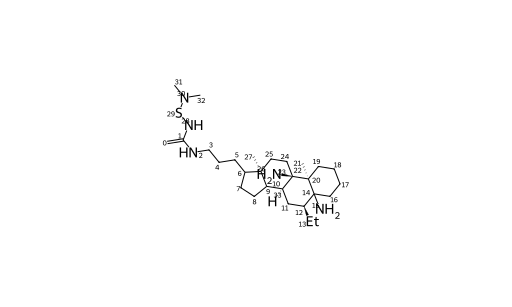 C=C(NCCCC1CCC2[C@@H]3C[C@H](CC)C4(N)CCCC[C@]4(C)[C@@]3(N)CC[C@]12C)NSN(C)C